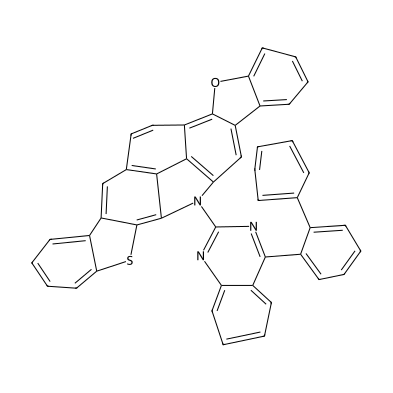 c1ccc(-c2ccccc2-c2nc(-n3c4cc5c6ccccc6oc5c5ccc6cc7c8ccccc8sc7c3c6c54)nc3ccccc23)cc1